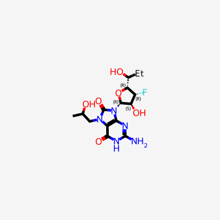 CCC(O)[C@H]1O[C@@H](n2c(=O)n(CC(C)O)c3c(=O)[nH]c(N)nc32)[C@H](O)[C@H]1F